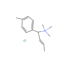 CC=CC(c1ccc(C)cc1)[N+](C)(C)C.[Cl-]